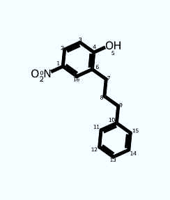 O=[N+]([O-])c1ccc(O)c(CCCc2ccccc2)c1